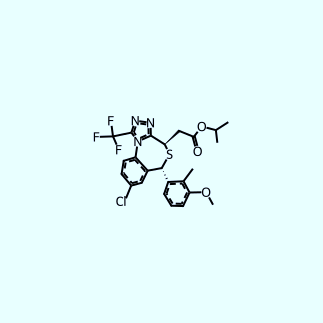 COc1cccc([C@H]2S[C@H](CC(=O)OC(C)C)c3nnc(C(F)(F)F)n3-c3ccc(Cl)cc32)c1C